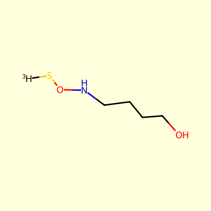 [3H]SONCCCCO